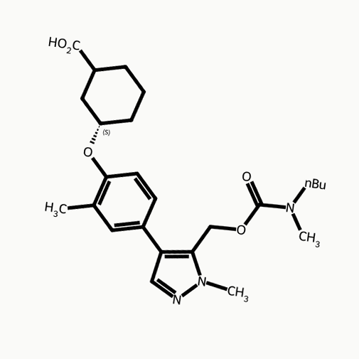 CCCCN(C)C(=O)OCc1c(-c2ccc(O[C@H]3CCCC(C(=O)O)C3)c(C)c2)cnn1C